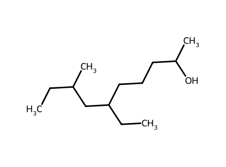 CCC(C)CC(CC)CCCC(C)O